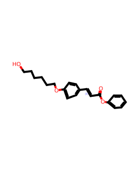 O=C(/C=C/c1ccc(OCCCCCCO)cc1)Oc1ccccc1